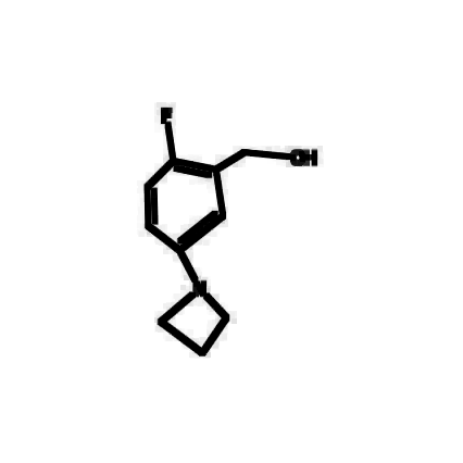 OCc1cc(N2CCC2)ccc1F